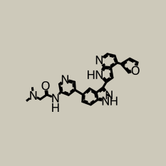 CN(C)CC(=O)Nc1cncc(-c2ccc3[nH]nc(-c4cc5c(-c6ccoc6)ccnc5[nH]4)c3c2)c1